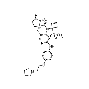 CC(C)C1(N2C(=O)[C@]3(CCNC3=O)Cc3cnc(Nc4ccc(OCCN5CCCC5)cn4)nc32)C=CC1